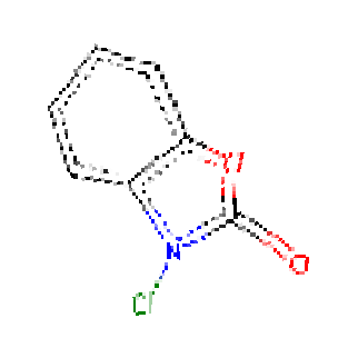 O=c1oc2ccccc2n1Cl